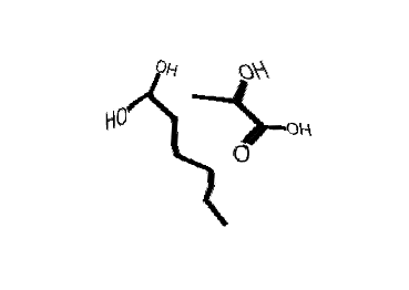 CC(O)C(=O)O.CCCCCC(O)O